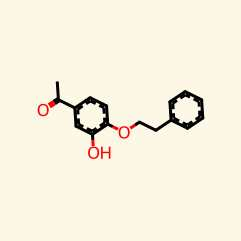 CC(=O)c1ccc(OCCc2ccccc2)c(O)c1